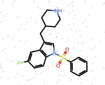 O=S(=O)(c1ccccc1)n1cc(CC2CCNCC2)c2cc(F)ccc21